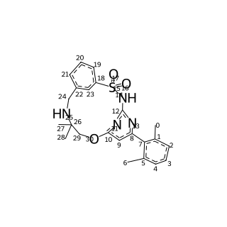 Cc1cccc(C)c1-c1cc2nc(n1)NS(=O)(=O)c1cccc(c1)CNC(C)(C)CO2